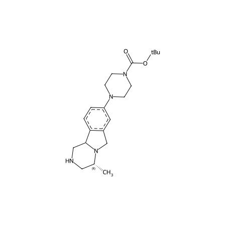 C[C@@H]1CNCC2c3ccc(N4CCN(C(=O)OC(C)(C)C)CC4)cc3CN21